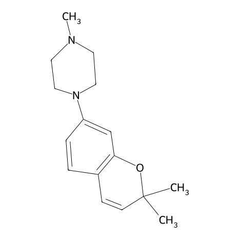 CN1CCN(c2ccc3c(c2)OC(C)(C)C=C3)CC1